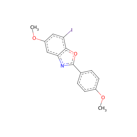 COc1ccc(-c2nc3cc(OC)cc(I)c3o2)cc1